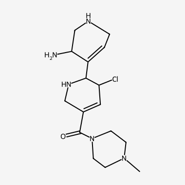 CN1CCN(C(=O)C2=CC(Cl)C(C3=CCNCC3N)NC2)CC1